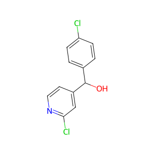 OC(c1ccc(Cl)cc1)c1ccnc(Cl)c1